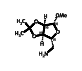 CO[C@@H]1O[C@H](CN)[C@H]2OC(C)(C)O[C@@H]12